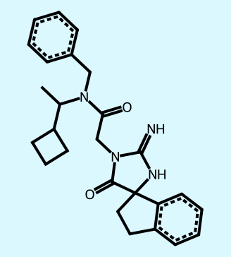 CC(C1CCC1)N(Cc1ccccc1)C(=O)CN1C(=N)NC2(CCc3ccccc32)C1=O